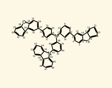 c1cc(-c2ccc3sc4ccccc4c3c2)cc(N(c2ccc(-c3ccc4oc5ccccc5c4c3)cc2)c2cccc(-n3c4ccccc4c4ccccc43)c2)c1